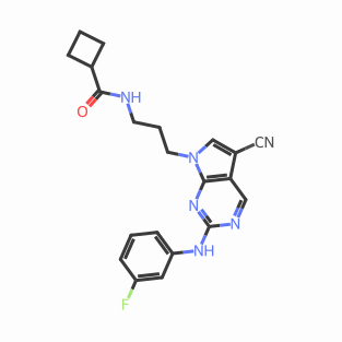 N#Cc1cn(CCCNC(=O)C2CCC2)c2nc(Nc3cccc(F)c3)ncc12